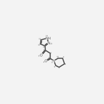 O=C(CC(=O)N1CCCCC1)c1cc[nH]n1